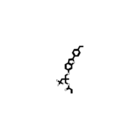 C=CC(=O)OCC(C)(COc1ccc2cc(-c3ccc(CC)cc3)sc2c1)CC(F)(F)F